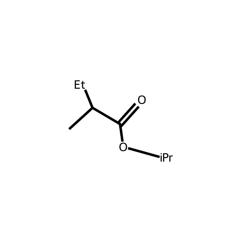 [CH2]C(C)OC(=O)C(C)CC